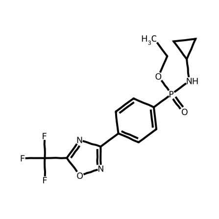 CCOP(=O)(NC1CC1)c1ccc(-c2noc(C(F)(F)F)n2)cc1